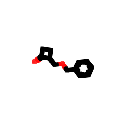 O=C1CCC1COCc1ccccc1